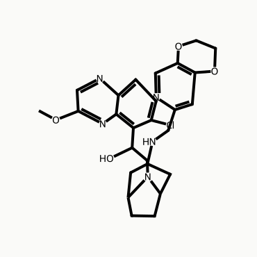 COc1cnc2ccc(Cl)c(C(O)CN3C4CCC3CC(NCc3cc5c(cn3)OCCO5)C4)c2n1